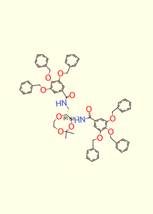 CC1(C)OCCO[C@H](CNC(=O)c2cc(OCc3ccccc3)c(OCc3ccccc3)c(OCc3ccccc3)c2)[C@H](CNC(=O)c2cc(OCc3ccccc3)c(OCc3ccccc3)c(OCc3ccccc3)c2)O1